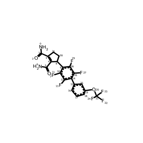 NC(=O)C1=C(C(N)=O)C(c2c(F)c(F)c(-c3cccc(OC(F)(F)F)c3)c(F)c2F)CC1